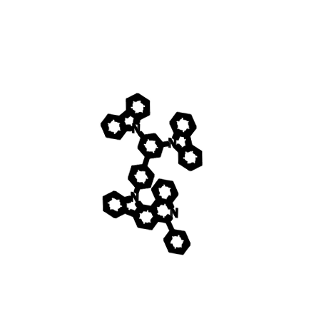 c1ccc(-c2nc3ccccc3c3c2ccc2c4ccccc4n(-c4ccc(-c5cc(-n6c7ccccc7c7ccccc76)cc(-n6c7ccccc7c7ccccc76)c5)cc4)c23)cc1